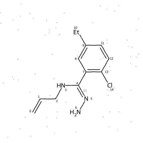 C=CCN/C(=N\N)c1cc(CC)ccc1Cl